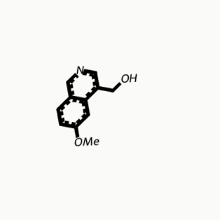 COc1ccc2cncc(CO)c2c1